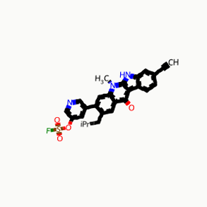 C#Cc1ccc2c(c1)[nH]c1c2c(=O)c2cc(CC(C)C)c(-c3cncc(OS(=O)(=O)F)c3)cc2n1C